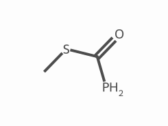 CSC(=O)P